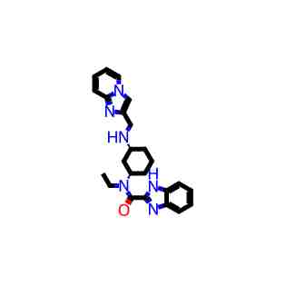 CCN(C(=O)c1nc2ccccc2[nH]1)[C@H]1CCC[C@@H](NCc2cn3ccccc3n2)C1